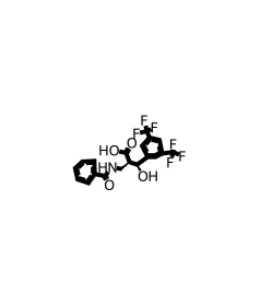 O=C(NC[C@@H](C(=O)O)[C@H](O)c1cc(C(F)(F)F)cc(C(F)(F)F)c1)c1ccccc1